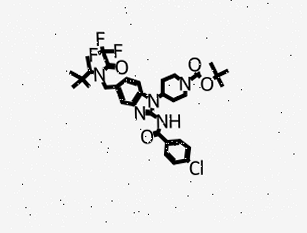 CC(N(Cc1ccc2c(c1)nc(NC(=O)c1ccc(Cl)cc1)n2C1CCN(C(=O)OC(C)(C)C)CC1)C(=O)C(F)(F)F)C(C)(C)C